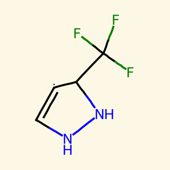 FC(F)(F)C1[C]=CNN1